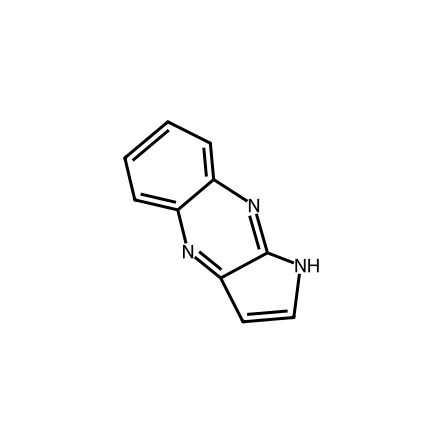 c1ccc2nc3[nH]ccc3nc2c1